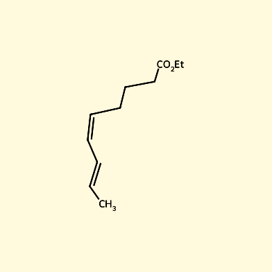 CC=C/C=C\CCCC(=O)OCC